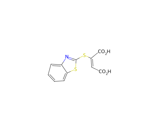 O=C(O)C=C(Sc1nc2ccccc2s1)C(=O)O